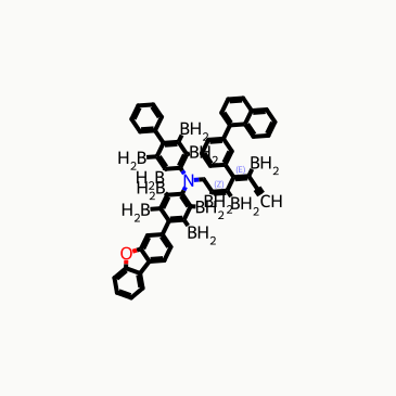 B/C(CN(c1c(B)c(B)c(-c2ccccc2)c(B)c1B)c1c(B)c(B)c(-c2ccc3c(c2)oc2ccccc23)c(B)c1B)=C(B)/C(=C(/B)C#C)c1cccc(-c2cccc3ccccc23)c1